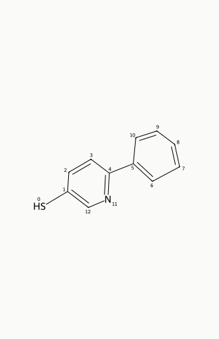 Sc1ccc(-c2ccccc2)nc1